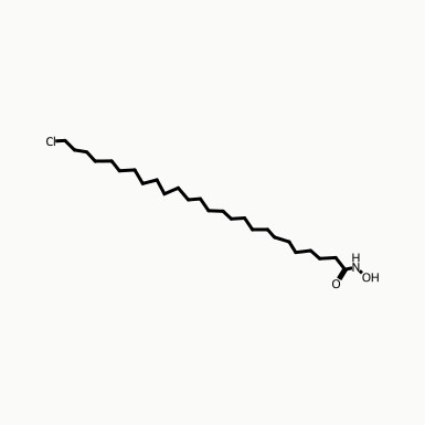 O=C(CCCCCCCCCCCCCCCCCCCCCCCCCCl)NO